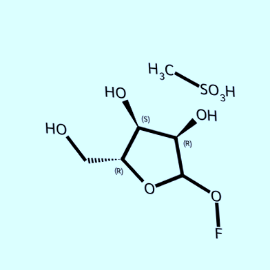 CS(=O)(=O)O.OC[C@H]1OC(OF)[C@H](O)[C@@H]1O